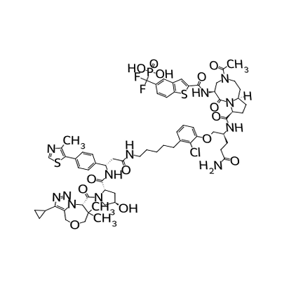 CC(=O)N1CC[C@H]2CC[C@@H](C(=O)N[C@@H](CCC(N)=O)COc3cccc(CCCCCNC(=O)C[C@H](NC(=O)[C@@H]4C[C@@H](O)CN4C(=O)[C@H]4n5nnc(C6CC6)c5COCC4(C)C)c4ccc(-c5scnc5C)cc4)c3Cl)N2C(=O)[C@@H](NC(=O)c2cc3cc(C(F)(F)P(=O)(O)O)ccc3s2)C1